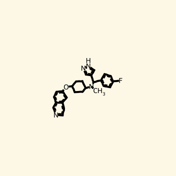 CN(C1CCC(Oc2ccc3cnccc3c2)CC1)C(c1ccc(F)cc1)c1cn[nH]c1